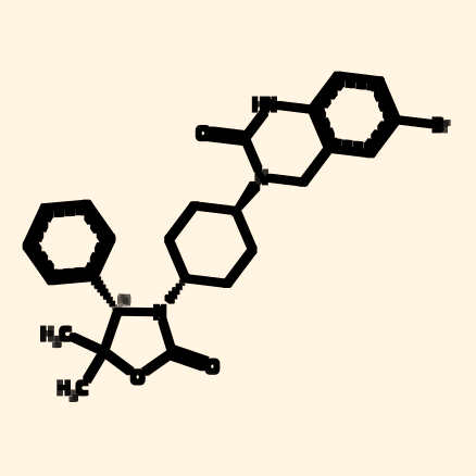 CC1(C)OC(=O)N([C@H]2CC[C@H](N3Cc4cc(Br)ccc4NC3=O)CC2)[C@H]1c1ccccc1